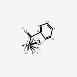 [NH2][Cr]([F])([F])([F])([F])([F])([Cl])([Cl])([Cl])[C](=O)c1ccccc1